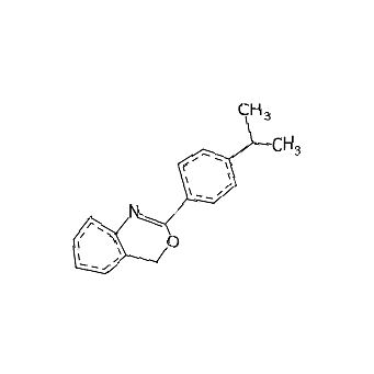 CC(C)c1ccc(C2=Nc3ccccc3CO2)cc1